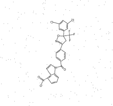 O=C(c1ccc(C2=NOC(c3cc(Cl)cc(Cl)c3)(C(F)(F)F)C2)cc1)n1ccc2c([N+](=O)[O-])cccc21